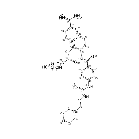 Cl.Cl.Cl.N=C(NCCN1CCOCC1)Nc1ccc(C(=O)Oc2ccc3cc(C(=N)N)ccc3c2CC(N)=O)cc1